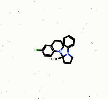 O=CC1(N2CCCc3cc(Cl)ccc32)CCCN1c1ccccc1